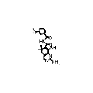 COc1cccc(C(=O)Nc2n[nH]c3c2C(C)(C)Cc2cnc(N)nc2-3)c1